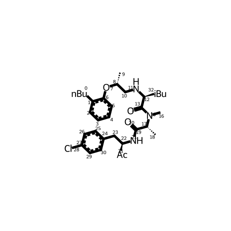 CCCCc1ccccc1O[C@H](C)CN[C@H](C(=O)N(C)[C@H](C)C(=O)N[C@H](Cc1ccc(Cl)cc1)C(C)=O)C(C)CC